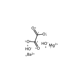 O=C([O-])C(=O)[O-].[Ba+2].[Mg+2].[OH-].[OH-]